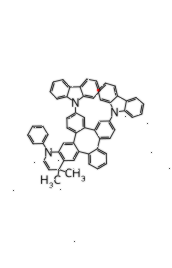 CC1(C)C=CN(c2ccccc2)c2cc3c(cc21)-c1ccccc1-c1ccc(-n2c4ccccc4c4ccccc42)cc1-c1cc(-n2c4ccccc4c4ccccc42)ccc1-3